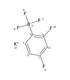 Fc1ccc([B-](F)(F)F)c(F)c1.[K+]